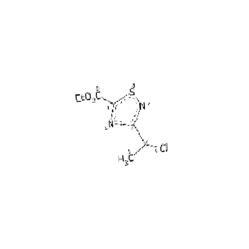 CCOC(=O)c1nc(C(C)Cl)ns1